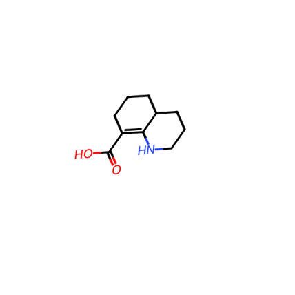 O=C(O)C1=C2NCCCC2CCC1